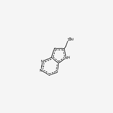 CC(C)(C)c1cc2nnccc2[nH]1